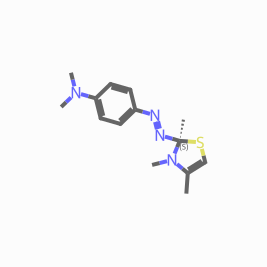 CC1=CS[C@](C)(N=Nc2ccc(N(C)C)cc2)N1C